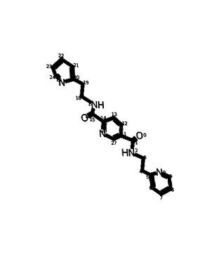 O=C(NCCc1ccccn1)c1ccc(C(=O)NCCc2ccccn2)nc1